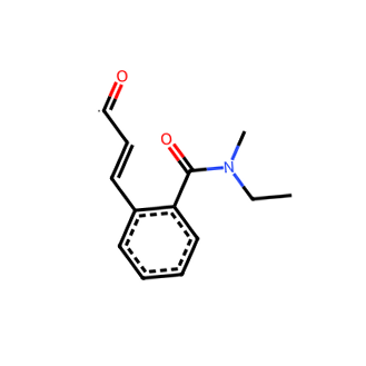 CCN(C)C(=O)c1ccccc1/C=C/[C]=O